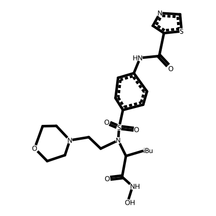 CCC(C)C(C(=O)NO)N(CCN1CCOCC1)S(=O)(=O)c1ccc(NC(=O)c2cncs2)cc1